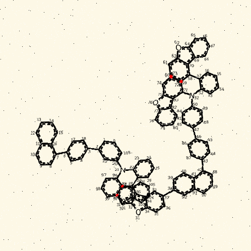 c1cc(-c2ccc(-c3cccc4ccccc34)cc2)cc(N(c2ccccc2-c2cccc3oc4ccc(-c5ccc6c(-c7ccc(-c8ccc(N(c9ccccc9-c9cccc%10oc%11ccccc%11c9%10)c9cccc%10oc%11ccccc%11c9%10)cc8)cc7)cccc6c5)cc4c23)c2cccc3oc4ccccc4c23)c1